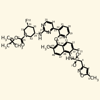 Cc1cc(CS(=O)(=O)Nc2c(F)ccc3c(Oc4ncccc4-c4ccnc(N[C@H]5C[C@H](F)CN(C(=O)OC(C)(C)C)C5)n4)c(C)ccc23)no1